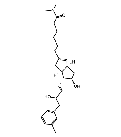 Cc1cccc(C[C@@H](O)/C=C/[C@@H]2[C@H]3CC(CCCCCC(=O)N(C)C)=C[C@H]3C[C@H]2O)c1